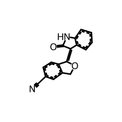 N#Cc1ccc2c(c1)COC2=C1C(=O)Nc2ccccc21